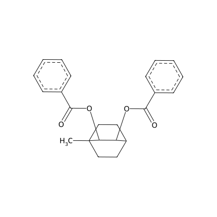 CC12CCC(CC1)C(OC(=O)c1ccccc1)C2OC(=O)c1ccccc1